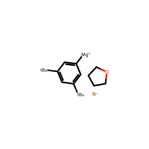 C1CCOC1.CC(C)(C)c1c[c]([Mg+])cc(C(C)(C)C)c1.[Br-]